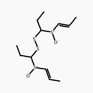 C/C=C/[S+]([O-])C(CC)SSC(CC)[S+]([O-])/C=C/C